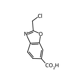 O=C(O)c1ccc2nc(CCl)oc2c1